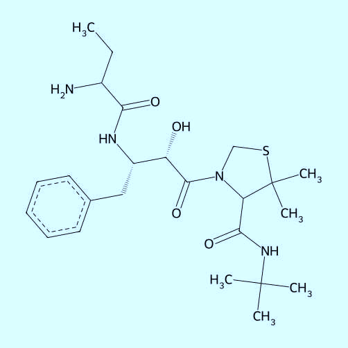 CCC(N)C(=O)N[C@@H](Cc1ccccc1)[C@H](O)C(=O)N1CSC(C)(C)C1C(=O)NC(C)(C)C